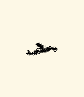 C=CC(=O)OCCCOc1ccc(C(=O)OCCc2ccc(OC(=O)c3ccc(OCCCOC(=O)C=C)cc3)c(/C=N/Nc3nc4ccccc4s3)c2)cc1